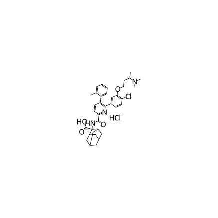 Cc1ccccc1-c1ccc(C(=O)NC2(C(=O)O)C3CC4CC(C3)CC2C4)nc1-c1ccc(Cl)c(OCCC(C)N(C)C)c1.Cl